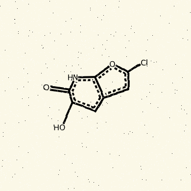 O=c1[nH]c2oc(Cl)cc2cc1O